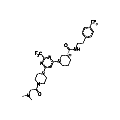 CN(C)CC(=O)N1CCN(c2cc(N3CCC[C@@H](C(=O)NCCc4ccc(C(F)(F)F)cc4)C3)nc(C(F)(F)F)n2)CC1